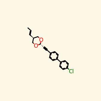 CC=C[C@H]1CO[C@H](C#Cc2ccc(-c3ccc(Cl)cc3)cc2)OC1